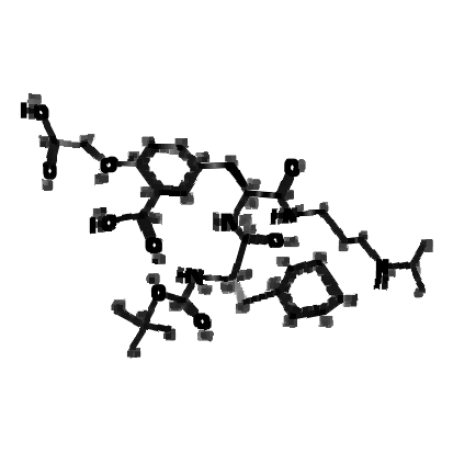 CC(C)NCCCNC(=O)[C@H](Cc1ccc(OCC(=O)O)c(C(=O)O)c1)NC(=O)[C@H](Cc1ccccc1)NC(=O)OC(C)(C)C